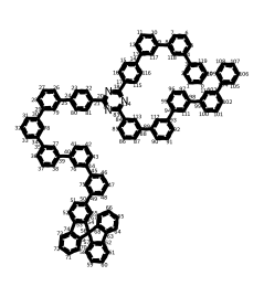 c1ccc(-c2cccc(-c3cccc(-c4ccc(-c5nc(-c6ccc(-c7cccc(-c8cccc(-c9cccc(-c%10cccc(-c%11cccc(-c%12ccc%13c(c%12)C%12(c%14ccccc%14-c%14ccccc%14%12)c%12ccccc%12-%13)c%11)c%10)c9)c8)c7)cc6)nc(-c6cccc(-c7cccc(-c8cccc(-c9cccc(-c%10ccccc%10)c9)c8)c7)c6)n5)cc4)c3)c2)cc1